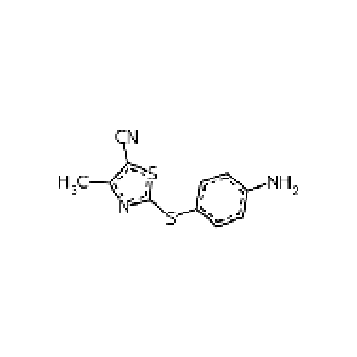 Cc1nc(Sc2ccc(N)cc2)sc1C#N